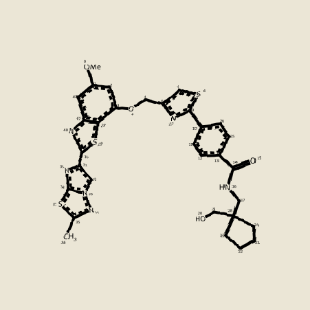 COc1cc(OCc2csc(-c3ccc(C(=O)NCC4(CO)CCCC4)cc3)n2)c2sc(-c3cn4nc(C)sc4n3)nc2c1